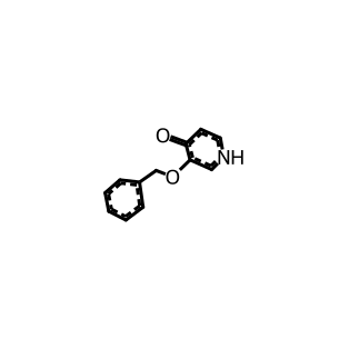 O=c1cc[nH]cc1OCc1ccccc1